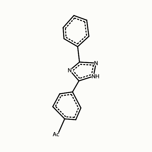 CC(=O)c1ccc(-c2nc(-c3ccccc3)n[nH]2)cc1